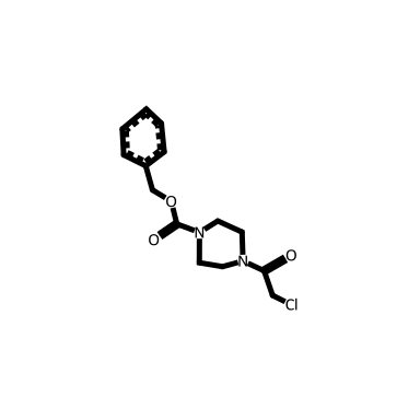 O=C(CCl)N1CCN(C(=O)OCc2ccccc2)CC1